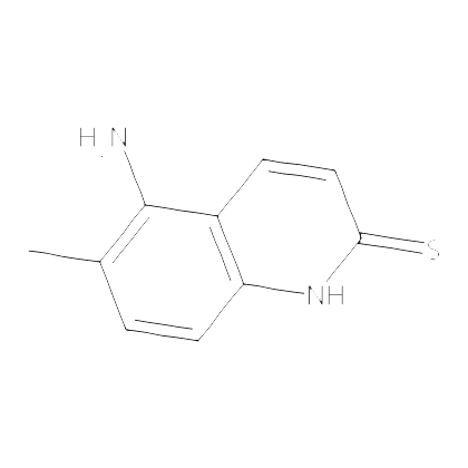 Cc1ccc2[nH]c(=S)ccc2c1N